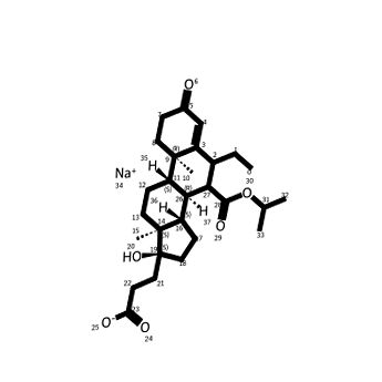 CCC1C2=CC(=O)CC[C@]2(C)[C@H]2CC[C@@]3(C)[C@@H](CC[C@]3(O)CCC(=O)[O-])[C@@H]2C1C(=O)OC(C)C.[Na+]